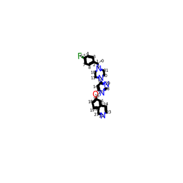 C[C@@H](c1ccc(F)cc1)N1CCN(c2cc(Oc3ccc4cnccc4c3)ncn2)CC1